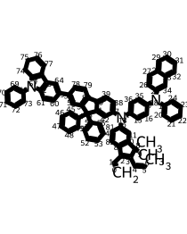 C=CC1=C(/C=C\C)C(C)(C)c2cc(N(c3ccc(N(c4ccccc4)c4ccc5ccccc5c4)cc3)c3ccc4c(c3)C(c3ccccc3)(c3ccccc3)c3cc(-c5ccc6c(c5)c5c(n6-c6ccccc6)CCC=C5)ccc3-4)ccc21